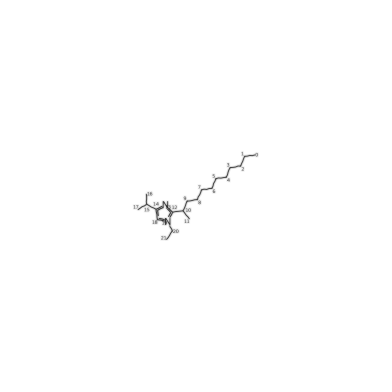 CCCCCCCCCCC(C)c1nc(C(C)C)cn1CC